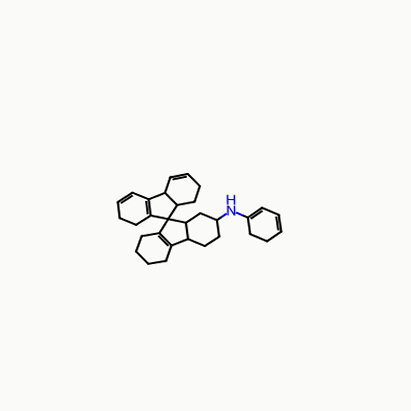 C1=CCCC(NC2CCC3C4=C(CCCC4)C4(C5=C(C=CCC5)C5C=CCCC54)C3C2)=C1